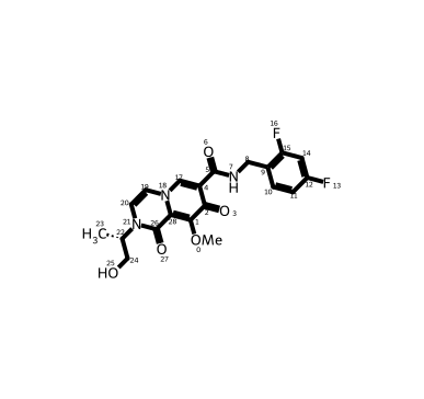 COc1c(=O)c(C(=O)NCc2ccc(F)cc2F)cn2ccn([C@@H](C)CO)c(=O)c12